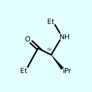 CCN[C@H](C(=O)CC)C(C)C